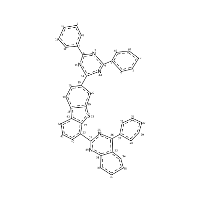 c1ccc(-c2nc(-c3ccccc3)nc(-c3ccc4c(c3)sc3c(-c5nc(-c6ccccc6)c6ccccc6n5)cccc34)n2)cc1